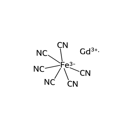 N#[C][Fe-3]([C]#N)([C]#N)([C]#N)([C]#N)[C]#N.[Gd+3]